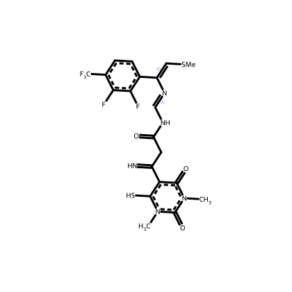 CS/C=C(\N=C\NC(=O)CC(=N)c1c(S)n(C)c(=O)n(C)c1=O)c1ccc(C(F)(F)F)c(F)c1F